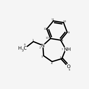 CCN1CCC(=O)Nc2ccccc21